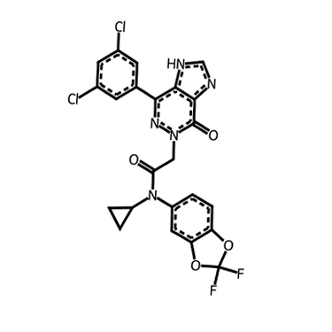 O=C(Cn1nc(-c2cc(Cl)cc(Cl)c2)c2[nH]cnc2c1=O)N(c1ccc2c(c1)OC(F)(F)O2)C1CC1